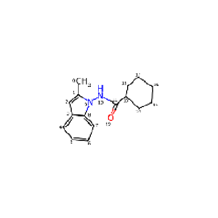 Cc1cc2ccccc2n1NC(=O)C1CCCCC1